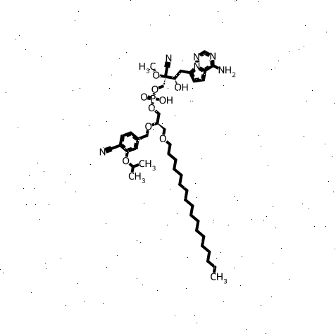 CCCCCCCCCCCCCCCCCCOC[C@H](COP(=O)(O)OC[C@@](C#N)(OC)[C@@H](O)Cc1ccc2c(N)ncnn12)OCc1ccc(C#N)c(OC(C)C)c1